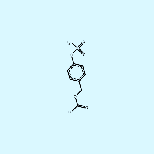 CCC(C)C(=O)OCc1ccc(OS(C)(=O)=O)cc1